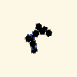 c1ccc(-n2ccc3c4c5ccccc5n(-c5ccc(-c6nc(-c7ccc(-c8ncccn8)cc7)c7ccccc7n6)cc5)c4ccc32)cc1